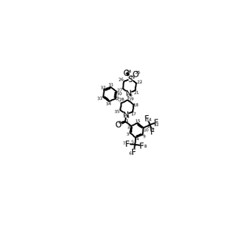 O=C(c1cc(C(F)(F)F)cc(C(F)(F)F)c1)N1CC[C@@H](N2CCS(=O)(=O)CC2)[C@@H](c2ccccc2)C1